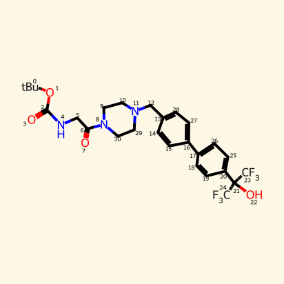 CC(C)(C)OC(=O)NCC(=O)N1CCN(Cc2ccc(-c3ccc(C(O)(C(F)(F)F)C(F)(F)F)cc3)cc2)CC1